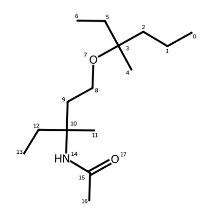 CCCC(C)(CC)OCCC(C)(CC)NC(C)=O